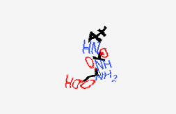 CC(C)(NC(=O)[C@@H](N)CC(=O)O)C(=O)NCC1(C(C)(C)C)CC1